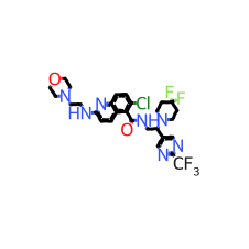 O=C(NCC(c1cnc(C(F)(F)F)nc1)N1CCC(F)(F)CC1)c1c(Cl)ccc2nc(NCCN3CCOCC3)ccc12